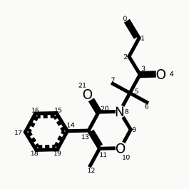 C=CCC(=O)C(C)(C)N1COC(C)=C(c2ccccc2)C1=O